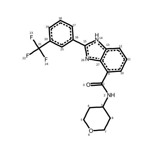 O=C(NC1CCOCC1)c1cccc2[nH]c(-c3cccc(C(F)(F)F)c3)nc12